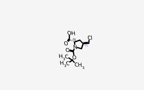 CC(C)(C)OC(=O)N1C/C(=C/Cl)C[C@H]1C(=O)O